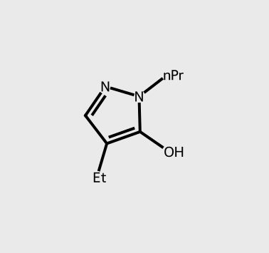 CCCn1ncc(CC)c1O